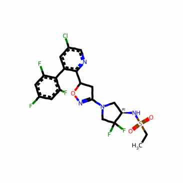 CCS(=O)(=O)N[C@@H]1CN(C2=NOC(c3ncc(Cl)cc3-c3c(F)cc(F)cc3F)C2)CC1(F)F